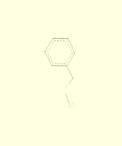 C[CH]COCc1ccccc1